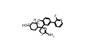 NC1=NC2(CS1)c1cc(-c3cccnc3F)ccc1O[C@@H]1C[C@H](O)CCC12